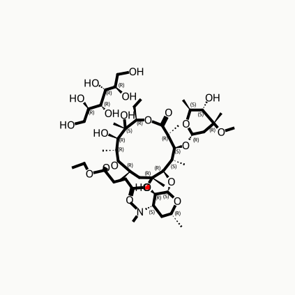 CCOC(=O)CCC(=O)O[C@H]1[C@H](O[C@@H]2[C@@H](C)[C@H](O[C@H]3C[C@@](C)(OC)[C@@H](O)[C@H](C)O3)[C@@H](C)C(=O)O[C@H](CC)[C@@](C)(O)[C@H](O)[C@@H](C)C(=O)[C@H](C)C[C@@]2(C)O)O[C@H](C)C[C@@H]1N(C)C.OC[C@@H](O)[C@@H](O)[C@H](O)[C@H](O)CO